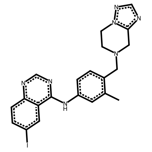 Cc1cc(Nc2ncnc3ccc(I)cc23)ccc1CN1CCn2ncnc2C1